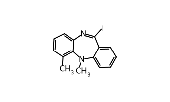 Cc1cccc2c1N(C)c1ccccc1C(I)=N2